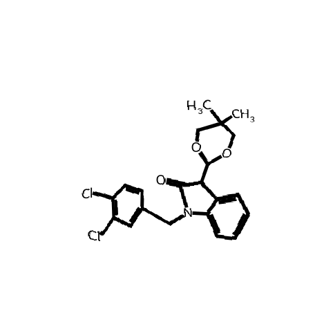 CC1(C)COC(C2C(=O)N(Cc3ccc(Cl)c(Cl)c3)c3ccccc32)OC1